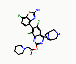 C[C@@H](CN1CCCCC1)Oc1nc(N2C3CCC2CNC3)c2cc(Cl)c(-c3ccc(F)c4sc(N)nc34)c(F)c2n1